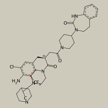 Nc1c(Cl)cc(C[C@@H](CC(=O)N2CCC(N3CCc4ccccc4NC3=O)CC2)C(=O)N2CCN(C3CN4CCC3CC4)CC2)cc1C(F)(F)F